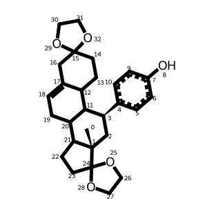 C[C@]12C[C@H](c3ccc(O)cc3)C3C4CCC5(CC4=CCC3C1CCC21OCCO1)OCCO5